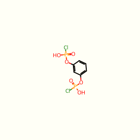 O=P(O)(Cl)Oc1cccc(OP(=O)(O)Cl)c1